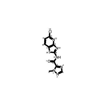 Cn1ncnc1C(=O)Nc1nc2nc(Cl)ccc2s1